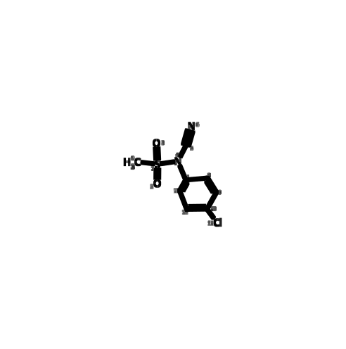 CS(=O)(=O)N(C#N)c1ccc(Cl)cc1